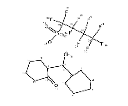 C[S+](C1CCCCC1)C1CCCCC1=O.O=S(=O)([O-])C(F)(F)C(F)(F)C(F)(F)C(F)(F)F